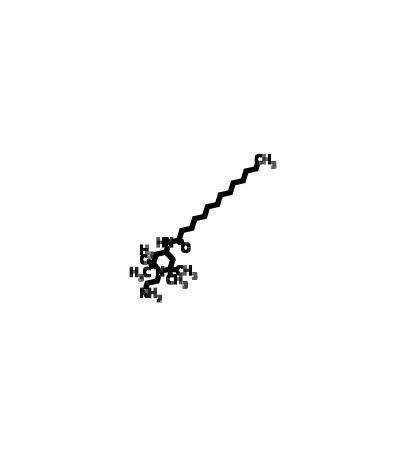 CCCCCCCCCCCCCC(=O)NC1CC(C)(C)N(CCN)C(C)(C)C1